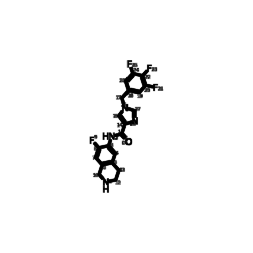 O=C(Nc1cc2c(cc1F)CNCC2)c1cn(Cc2cc(F)c(F)c(F)c2)cn1